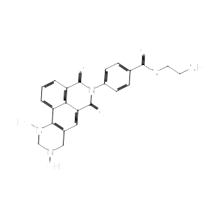 CN1Cc2cc3c4c(cccc4c2N(C)C1)C(=O)N(c1ccc(C(=O)NCCN)cc1)C3=O